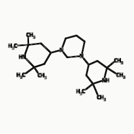 CC1(C)CC(N2CCCN(C3CC(C)(C)NC(C)(C)C3)C2)CC(C)(C)N1